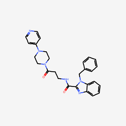 O=C(NCCC(=O)N1CCN(c2ccncc2)CC1)c1nc2ccccc2n1Cc1ccccc1